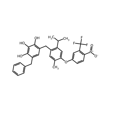 Cc1cc(Cc2cc(Cc3ccccc3)c(O)c(O)c2O)c(C(C)C)cc1Oc1ccc([N+](=O)[O-])c(C(F)(F)F)c1